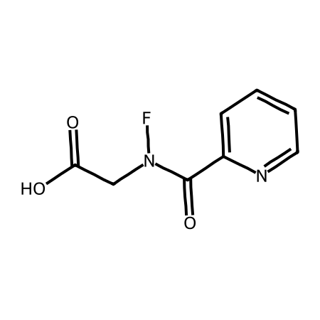 O=C(O)CN(F)C(=O)c1ccccn1